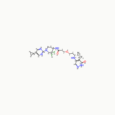 C[C@@H](CCOCCC(=O)NC1CCN(c2ncc(C3CC3)cn2)CC1(F)F)Nc1cn[nH]c(=O)c1C(F)(F)F